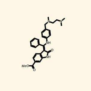 COC(=O)c1ccc2c(c1)NC(=O)/C2=C(\Nc1ccc(CN(C)CCN(C)C)cc1)c1ccccc1